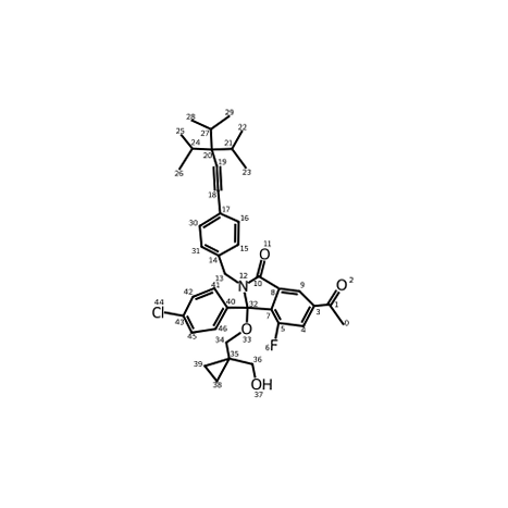 CC(=O)c1cc(F)c2c(c1)C(=O)N(Cc1ccc(C#CC(C(C)C)(C(C)C)C(C)C)cc1)C2(OCC1(CO)CC1)c1ccc(Cl)cc1